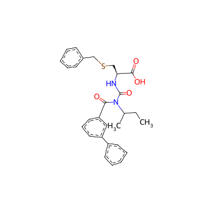 CCC(C)N(C(=O)N[C@@H](CSCc1ccccc1)C(=O)O)C(=O)c1cccc(-c2ccccc2)c1